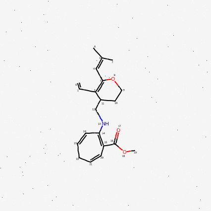 C=CC1=C(C=C(C)C)OCCC1CNC1=C(C(=O)OC)C=CCC=C1